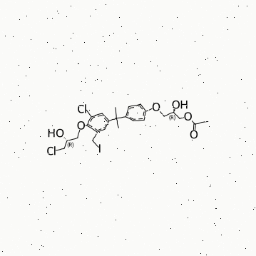 CC(=O)OC[C@H](O)COc1ccc(C(C)(C)c2cc(Cl)c(OC[C@@H](O)CCl)c(CI)c2)cc1